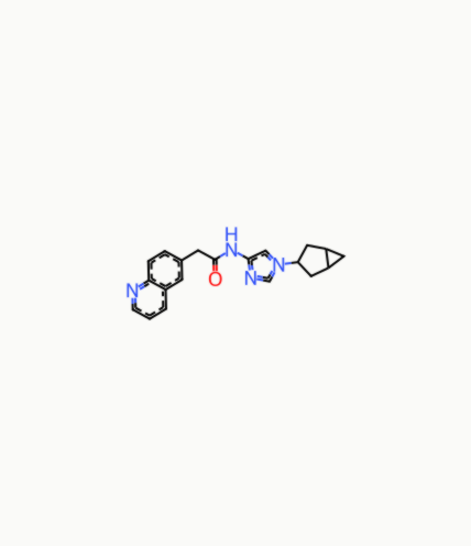 O=C(Cc1ccc2ncccc2c1)Nc1cn(C2CC3CC3C2)cn1